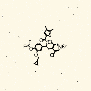 Cc1cc(C(=O)O[C@@H](Cc2c(Cl)c[n+]([O-])cc2Cl)c2ccc(OC(F)F)c(OCC3CC3)c2)sc1C